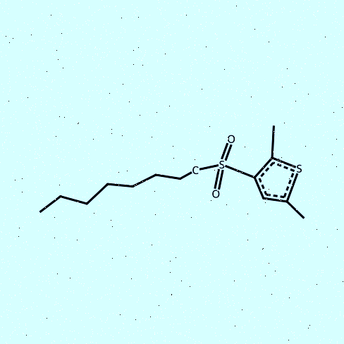 CCCCCCCCS(=O)(=O)c1cc(C)sc1C